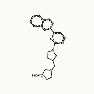 O[C@@H]1CCN(CC2CCN(c3nccc(-c4ccc5ccccc5c4)n3)C2)C1